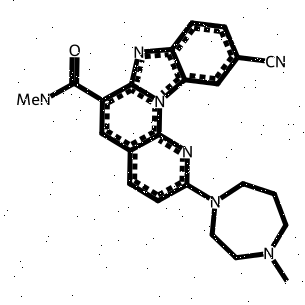 CNC(=O)c1cc2ccc(N3CCCN(C)CC3)nc2n2c1nc1ccc(C#N)cc12